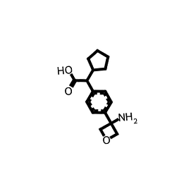 NC1(c2ccc(C(C(=O)O)C3CCCC3)cc2)COC1